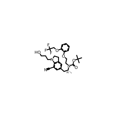 C[C@H](Cc1cc(C#N)c2c(c1)CCN2CCCO)N(CCOc1ccccc1OCC(F)(F)F)C(=O)OC(C)(C)C